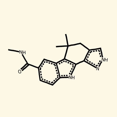 CNC(=O)c1ccc2[nH]c3c(c2c1)C(C)(C)Cc1c[nH]nc1-3